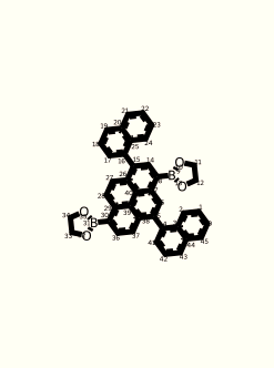 c1ccc2c(-c3cc4c(B5OCCO5)cc(-c5cccc6ccccc56)c5ccc6c(B7OCCO7)ccc3c6c45)cccc2c1